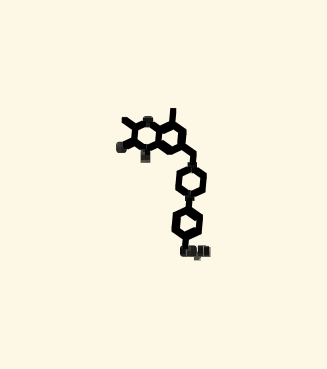 CCOC(=O)c1ccc(N2CCN(Cc3cc(C)c4c(c3)NC(=O)C(C)O4)CC2)cc1